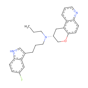 CCCN(CCCc1c[nH]c2ccc(F)cc12)[C@H]1COc2ccc3ncccc3c2C1